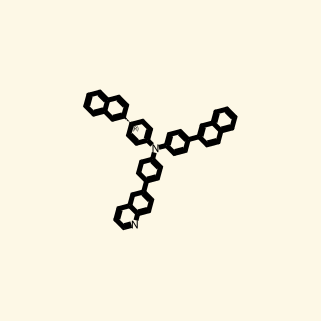 C1=CC2CC(C3=CC=C(N(C4=CC[C@@H](c5ccc6ccccc6c5)C=C4)c4ccc(-c5ccc6ccccc6c5)cc4)CC3)=CC=C2N=C1